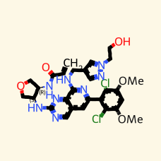 C=CC(=O)N[C@H]1COC[C@H]1Nc1ncc2cc(-c3c(Cl)c(OC)cc(OC)c3Cl)nc(NCc3cnn(CCO)c3)c2n1